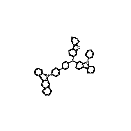 c1ccc(-n2c3ccccc3c3ccc(N(c4ccc(-c5ccc(-n6c7ccccc7c7cc8ccccc8cc76)cc5)cc4)c4ccc5c(c4)oc4ccccc45)cc32)cc1